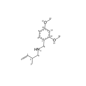 C=CC(C)CNCc1ccc(OC)cc1OC